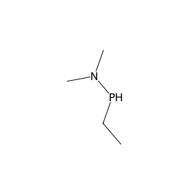 CCPN(C)C